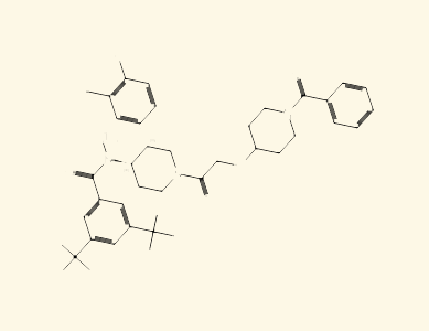 CN(C(=O)c1cc(C(F)(F)F)cc(C(F)(F)F)c1)[C@@H]1CCN(C(=O)COC2CCN(C(=O)c3ccccc3)CC2)C[C@H]1c1ccc(Cl)c(Cl)c1